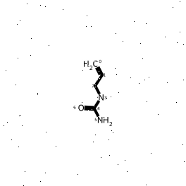 C=CC[N]C(N)=O